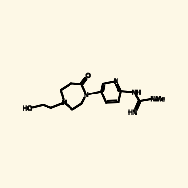 CNC(=N)Nc1ccc(N2CCN(CCO)CCC2=O)cn1